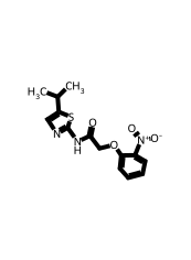 CC(C)c1cnc(NC(=O)COc2ccccc2[N+](=O)[O-])s1